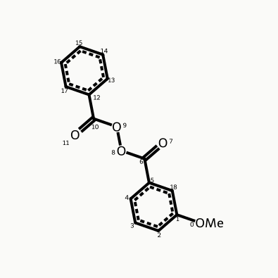 COc1cccc(C(=O)OOC(=O)c2ccccc2)c1